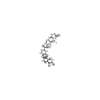 CCN1CCN(Cc2ccc(NC(=O)c3ccc(C)c(Oc4ncnc5c4OCC(=O)N5)c3)cc2C(F)(F)F)CC1